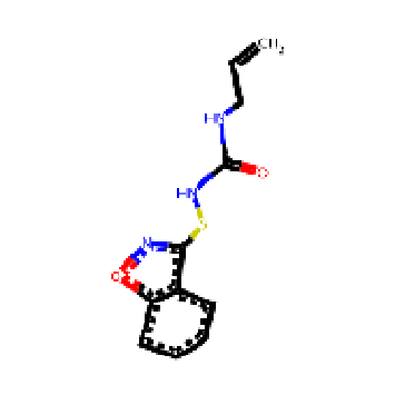 C=CCNC(=O)NSc1noc2ccccc12